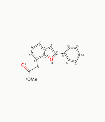 COC(=O)Cc1cccc2cc(-c3ccccc3)oc12